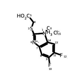 CN1C(SCC(=O)O)=[N+]c2cc(F)c(F)cc21.[Cl-]